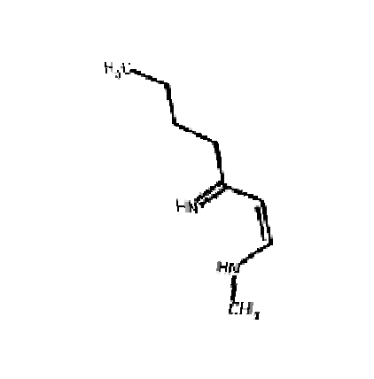 CCCCC(=N)/C=C\NC